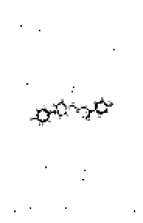 Cc1ccc(N2CCN(CCCC(=O)c3ccc(F)cc3)CC2)cc1